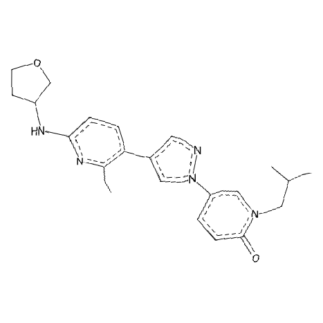 Cc1nc(NC2CCOC2)ccc1-c1cnn(-c2ccc(=O)n(CC(C)C)c2)c1